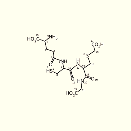 NC(CCC(=O)NC(CS)C(=O)NC(CSCC(=O)O)C(=O)NCC(=O)O)C(=O)O